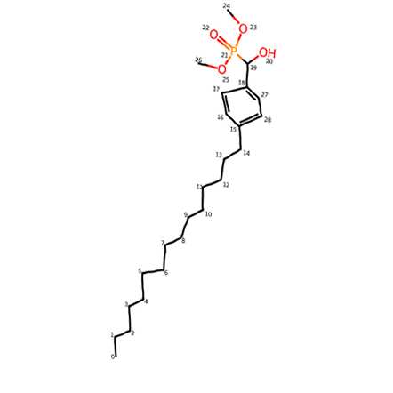 CCCCCCCCCCCCCCCc1ccc(C(O)P(=O)(OC)OC)cc1